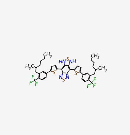 CCCCC(C)Cc1cc(-c2ccc(-c3c4c(c(-c5ccc(-c6ccc(C(F)(F)F)c(CC(C)CCCC)c6)s5)c5nsnc35)NSN4)s2)ccc1C(F)(F)F